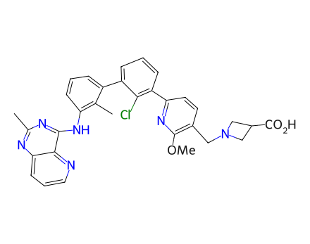 COc1nc(-c2cccc(-c3cccc(Nc4nc(C)nc5cccnc45)c3C)c2Cl)ccc1CN1CC(C(=O)O)C1